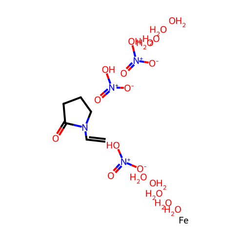 C=CN1CCCC1=O.O.O.O.O.O.O.O.O.O.O=[N+]([O-])O.O=[N+]([O-])O.O=[N+]([O-])O.[Fe]